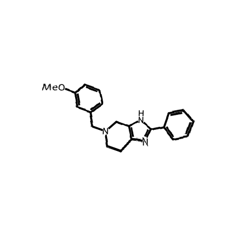 COc1cccc(CN2CCc3nc(-c4ccccc4)[nH]c3C2)c1